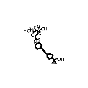 C[C@@](CCc1nc2ccc(C#Cc3ccc(C4(CO)CC4)cc3)cc2s1)(C(=O)NO)S(C)(=O)=O